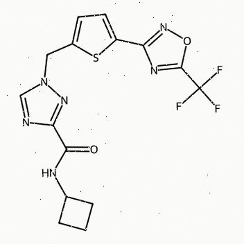 O=C(NC1CCC1)c1ncn(Cc2ccc(-c3noc(C(F)(F)F)n3)s2)n1